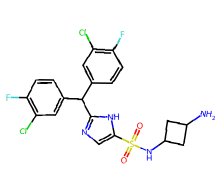 NC1CC(NS(=O)(=O)c2cnc(C(c3ccc(F)c(Cl)c3)c3ccc(F)c(Cl)c3)[nH]2)C1